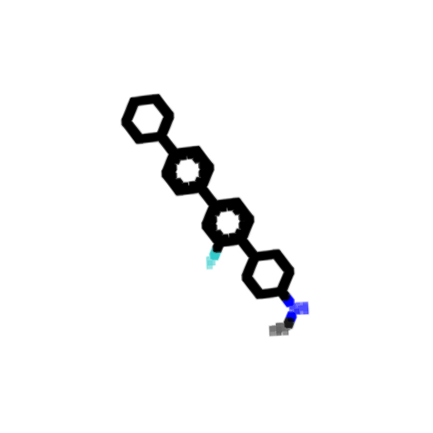 CCCNC1CCC(c2ccc(-c3ccc(C4CCCCC4)cc3)cc2F)CC1